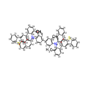 Cc1cc(-c2ccc(N(c3ccc4ccccc4c3)c3c(C)cccc3-c3ccc4sc5ccccc5c4c3)c(C)c2)ccc1N(c1ccc2ccccc2c1)c1c(C)cccc1-c1ccc2sc3ccccc3c2c1